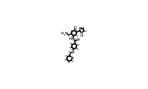 NCc1cc(Cl)c(-c2ncc[nH]2)cc1NC(=O)c1ccc(OCc2ccccn2)cc1